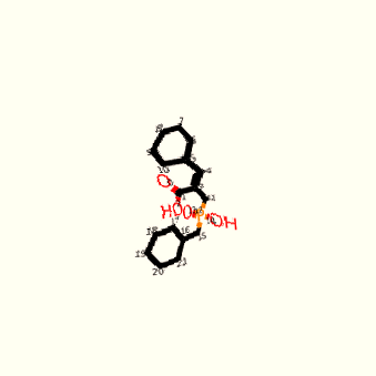 O=C(O)/C(=C\C1CCCCC1)CP(=O)(O)CC1CCCCC1